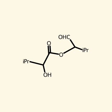 CC(C)C(C=O)OC(=O)C(O)C(C)C